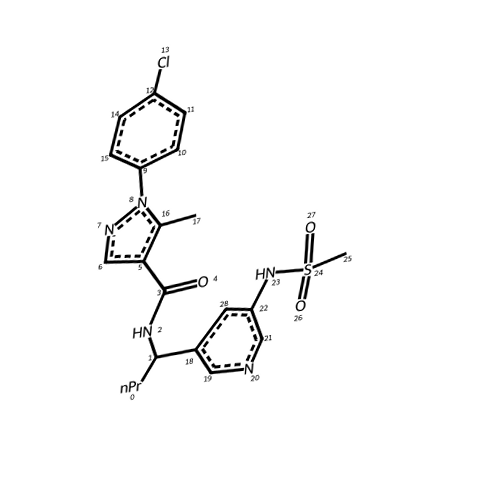 CCCC(NC(=O)c1cnn(-c2ccc(Cl)cc2)c1C)c1cncc(NS(C)(=O)=O)c1